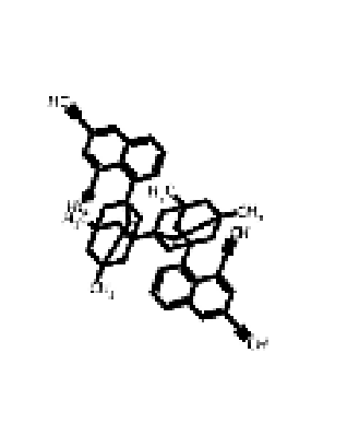 C#Cc1cc(C#C)c2c(C34CC5(C)CC(C)(C3)CC(C36CC7(C)CC(C)(CC(c8cccc9cc(C#C)cc(C#C)c89)(C7)C3)C6)(C5)C4)cccc2c1